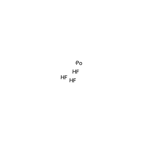 F.F.F.[Po]